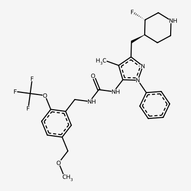 COCc1ccc(OC(F)(F)F)c(CNC(=O)Nc2c(C)c(C[C@@H]3CCNC[C@H]3F)nn2-c2ccccc2)c1